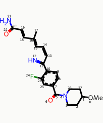 COC1CCN(C(=O)c2ccc(C(=N)\C=C/C=C(C)/C=C/C(N)=O)c(F)c2)CC1